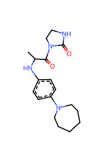 CC(Nc1ccc(N2CCCCCC2)cc1)C(=O)N1CCNC1=O